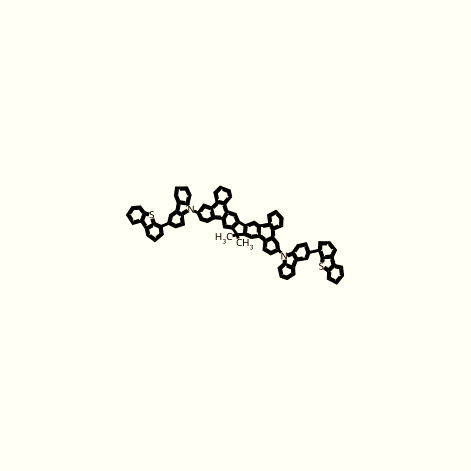 CC1(C)c2cc3c4ccc(-n5c6ccccc6c6cc(-c7cccc8c7sc7ccccc78)ccc65)cc4c4ccccc4c3cc2-c2cc3c4ccccc4c4cc(-n5c6ccccc6c6cc(-c7cccc8c7sc7ccccc78)ccc65)ccc4c3cc21